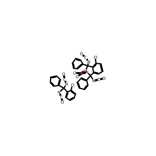 O=C=NC(N=C=O)(c1ccccc1)c1cccc(Cl)c1C(N=C=O)(N=C=O)c1ccccc1.O=C=NC(N=C=O)(c1ccccc1)c1ccccc1Cl